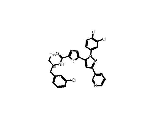 O=C(N[C@H](CO)Cc1cccc(Cl)c1)c1ccc(-c2cc(-c3cccnc3)nn2-c2ccc(Cl)c(Cl)c2)s1